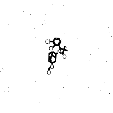 CC1(C)C(=O)N(C2C3CC4CC2CC(OC=O)(C4)C3)C1c1cccc(Cl)c1Cl